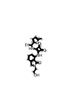 CCC(Nc1c(Nc2cccc3c2C(=O)N(CCO)C3)c(=O)c1=O)c1ccc(C)o1